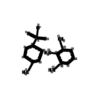 Cc1ccc(S(=O)(=O)[O-])cc1.Cc1ccc[n+](N)c1C